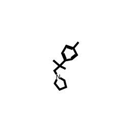 Cc1ccc(C(C)(C)CN2CCCC2)cc1